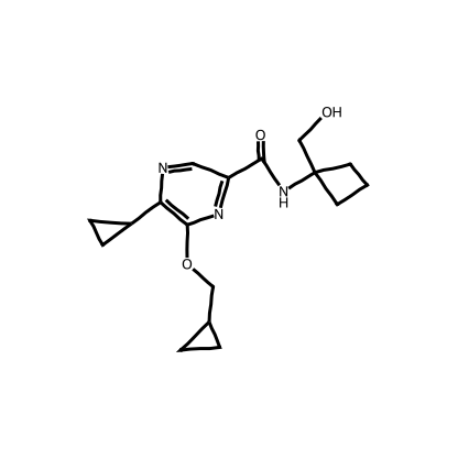 O=C(NC1(CO)CCC1)c1cnc(C2CC2)c(OCC2CC2)n1